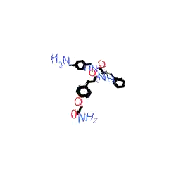 NCc1ccc(CNC(=O)[C@H](Cc2ccccc2)NC(=O)[CH]Cc2ccc(OCC(N)=O)cc2)cc1